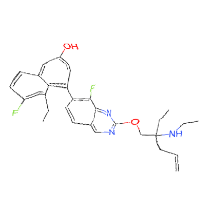 C=CCC(CC)(COc1ncc2ccc(-c3cc(O)cc4ccc(F)c(CC)c34)c(F)c2n1)NCC